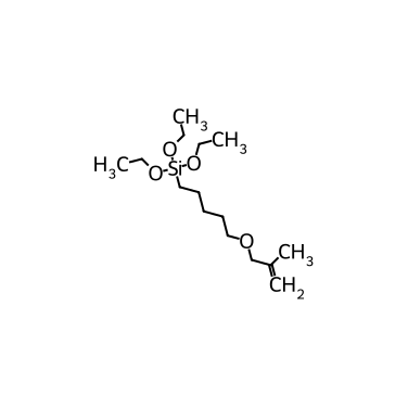 C=C(C)COCCCCC[Si](OCC)(OCC)OCC